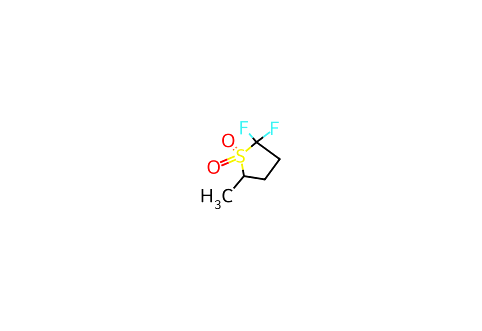 CC1CCC(F)(F)S1(=O)=O